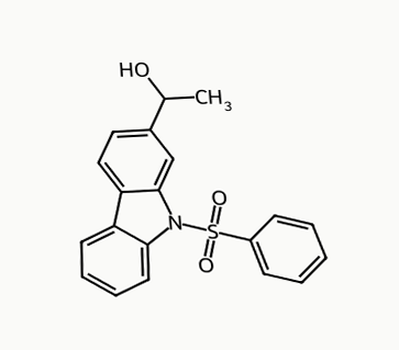 CC(O)c1ccc2c3ccccc3n(S(=O)(=O)c3ccccc3)c2c1